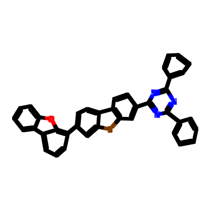 c1ccc(-c2nc(-c3ccccc3)nc(-c3ccc4c(c3)sc3cc(-c5cccc6c5oc5ccccc56)ccc34)n2)cc1